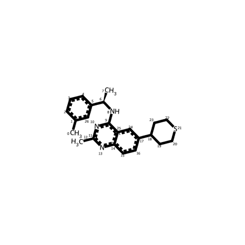 Cc1cccc([C@@H](C)Nc2nc(C)nc3ccc(C4CCSCC4)cc23)c1